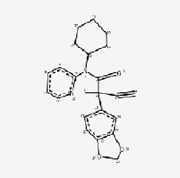 C#CC(C)(C(=O)N(c1ccccn1)C1CCCCC1)c1ccc2c(c1)OCO2